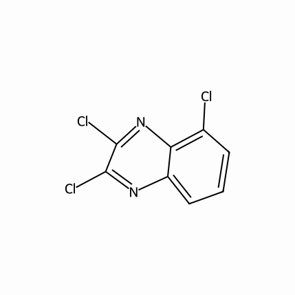 Clc1nc2cccc(Cl)c2nc1Cl